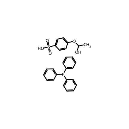 CC(O)Oc1ccc(S(=O)(=O)O)cc1.c1ccc(P(c2ccccc2)c2ccccc2)cc1